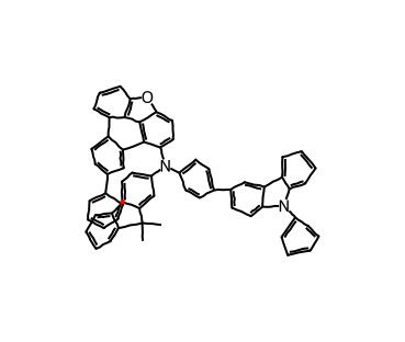 CC1(C)c2ccccc2-c2ccc(N(c3ccc(-c4ccc5c(c4)c4ccccc4n5-c4ccccc4)cc3)c3ccc4oc5cccc6c7ccc(-c8ccccc8)cc7c3c4c56)cc21